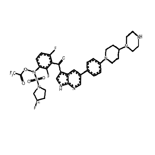 O=C(c1c(F)ccc(N(OC(=O)C(F)(F)F)S(=O)(=O)N2CC[C@@H](F)C2)c1F)c1c[nH]c2ncc(-c3ccc(N4CCC(N5CCNCC5)CC4)cc3)cc12